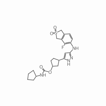 O=C(NC1CCCC1)OC1CCC(c2cc(Nc3ccc4c(c3F)CS(=O)(=O)C4)n[nH]2)C1